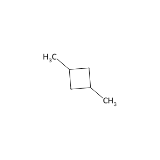 CC1CC(C)C1